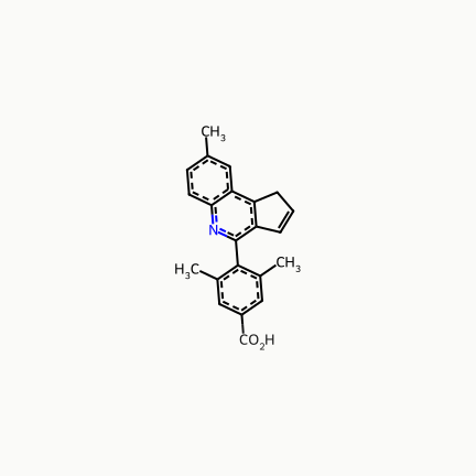 Cc1ccc2nc(-c3c(C)cc(C(=O)O)cc3C)c3c(c2c1)CC=C3